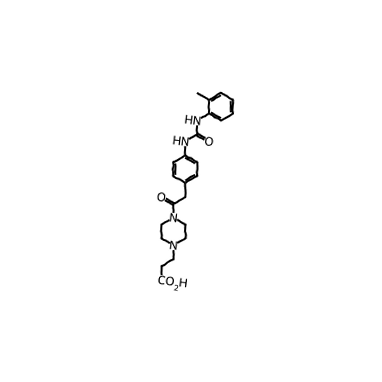 Cc1ccccc1NC(=O)Nc1ccc(CC(=O)N2CCN(CCC(=O)O)CC2)cc1